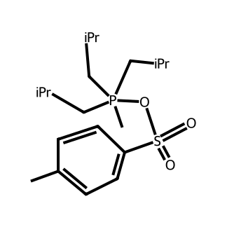 Cc1ccc(S(=O)(=O)OP(C)(CC(C)C)(CC(C)C)CC(C)C)cc1